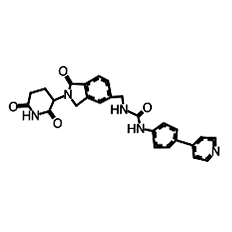 O=C1CCC(N2Cc3cc(CNC(=O)Nc4ccc(-c5ccncc5)cc4)ccc3C2=O)C(=O)N1